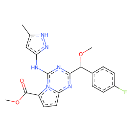 COC(=O)c1ccc2nc(C(OC)c3ccc(F)cc3)nc(Nc3cc(C)[nH]n3)n12